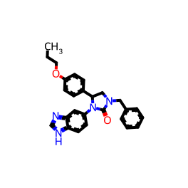 CCCOc1ccc(C2CN(Cc3ccccc3)C(=O)N2c2ccc3[nH]cnc3c2)cc1